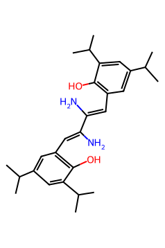 CC(C)c1cc(/C=C(N)/C(N)=C/c2cc(C(C)C)cc(C(C)C)c2O)c(O)c(C(C)C)c1